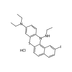 CCNN1c2ccc(N(CC)CC)cc2Sc2ccc3ccc(I)cc3c21.Cl